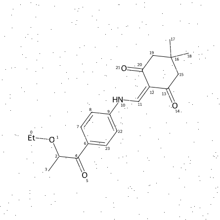 CCOC(C)C(=O)c1ccc(NC=C2C(=O)CC(C)(C)CC2=O)cc1